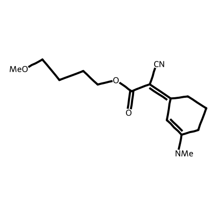 CNC1=C/C(=C(/C#N)C(=O)OCCCCOC)CCC1